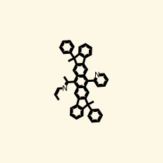 C/C=C\N=C(/C)c1c2cc3c(cc2c(-c2ccccn2)c2cc4c(cc12)-c1ccccc1C4(C)c1ccccc1)-c1ccccc1C3(C)c1ccccc1